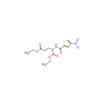 CCOC(=O)CCC(NC(=O)c1cc([N+](=O)[O-])cs1)C(=O)OCC